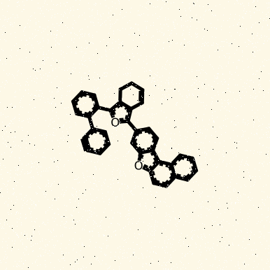 c1cccc(-c2ccccc2-c2oc(-c3ccc4c(c3)oc3ccc5ccccc5c34)c3c2CCC=C3)c#1